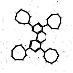 Cc1c(-c2[c]c(C3CCCCCCC3)cc(C3CCCCCCC3)c2C)[c]c(C2CCCCCCC2)cc1C1CCCCCCC1